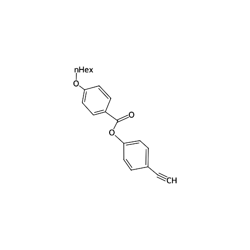 C#Cc1ccc(OC(=O)c2ccc(OCCCCCC)cc2)cc1